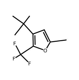 Cc1cc(C(C)(C)C)c(C(F)(F)F)o1